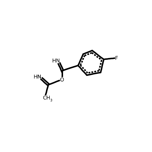 CC(=N)OC(=N)c1ccc(F)cc1